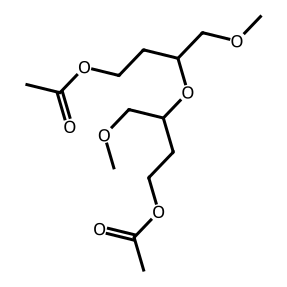 COCC(CCOC(C)=O)OC(CCOC(C)=O)COC